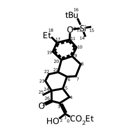 CCOC(=O)/C(O)=C1\CC2C3CCc4cc(O[Si](C)(C)C(C)(C)C)c(CC)cc4C3CCC2(C)C1=O